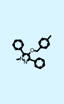 Cc1ccc(COc2c(-c3ccccc3)nn(C)c2-c2ccccc2)cc1